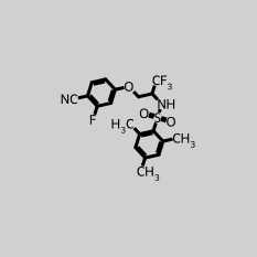 Cc1cc(C)c(S(=O)(=O)NC(COc2ccc(C#N)c(F)c2)C(F)(F)F)c(C)c1